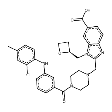 Cc1ccc(Nc2cccc(C(=O)N3CCN(Cc4nc5ccc(C(=O)O)cc5n4C[C@@H]4CCO4)CC3)c2)c(Cl)c1